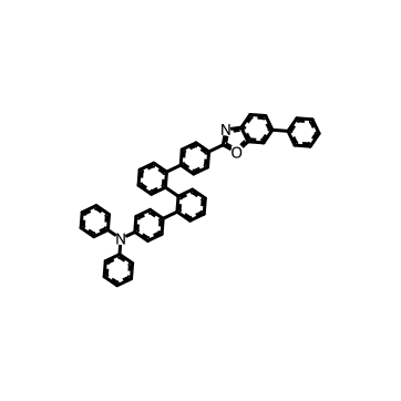 c1ccc(-c2ccc3nc(-c4ccc(-c5ccccc5-c5ccccc5-c5ccc(N(c6ccccc6)c6ccccc6)cc5)cc4)oc3c2)cc1